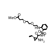 C=C[C@@H]1C[C@]1(N)C(=O)NS(=O)(=O)c1ccccc1NCCOCCOCCC(=O)OC